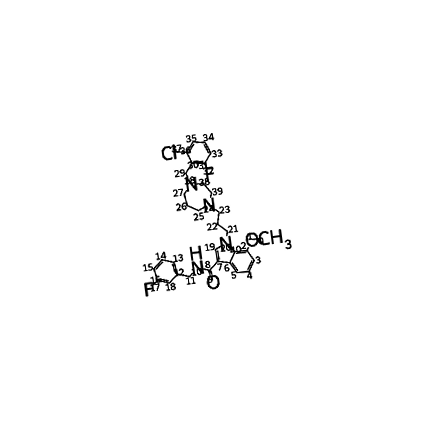 COc1cccc2c(C(=O)NCc3cccc(F)c3)cn(CCCN3CCCN(Cc4c(F)cccc4Cl)CC3)c12